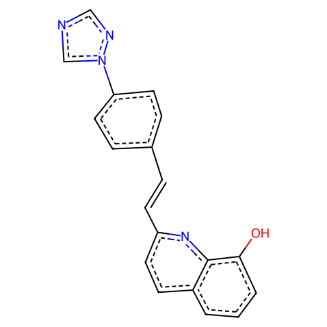 Oc1cccc2ccc(C=Cc3ccc(-n4cncn4)cc3)nc12